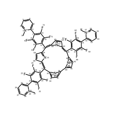 C[n+]1ccccc1-c1c(F)c(F)c(-c2c3nc(c(-c4c(F)c(F)c(-c5cccc[n+]5C)c(F)c4F)c4ccc([nH]4)c4ccc([nH]4)c(-c4c(F)c(F)c(-c5cccc[n+]5C)c(F)c4F)c4ccc2[nH]4)C=C3)c(F)c1F